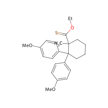 CCOC(=S)C1(C)CCCCC1(c1ccc(OC)cc1)c1ccc(OC)cc1